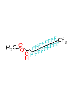 C=CC(=O)OCC(O)CC(F)C(F)(F)C(F)(F)C(F)(F)C(F)(F)C(F)(F)C(F)(F)C(F)(F)C(F)(F)C(F)(F)F